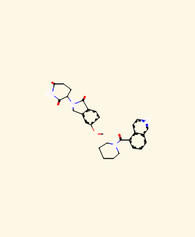 O=C1CCC(N2Cc3cc(OC[C@H]4CCCCN4C(=O)c4cccc5cnccc45)ccc3C2=O)C(=O)N1